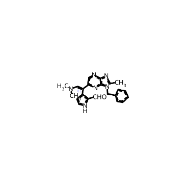 Cc1nc2ncc(/C(=C/N(C)C)c3cc[nH]c3C=O)nc2n1Cc1ccccc1